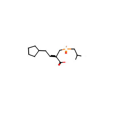 CC(C)CP(=O)(O)CC(=CCC1CCCC1)C(=O)O